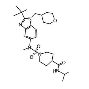 CC(C)NC(=O)C1CCN(S(=O)(=O)N(C)c2ccc3c(c2)nc(C(C)(C)C)n3CC2CCOCC2)CC1